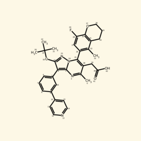 Cc1nc2c(-c3cccc(-c4ccncc4)c3)c(OC(C)(C)C)nn2c(-c2cc(F)c3c(c2C)CCCO3)c1CC(=O)O